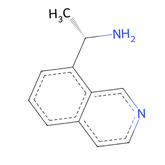 C[C@H](N)c1cccc2ccncc12